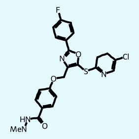 CNNC(=O)c1ccc(OCc2nc(-c3ccc(F)cc3)oc2SC2=NC=C(Cl)CC2)cc1